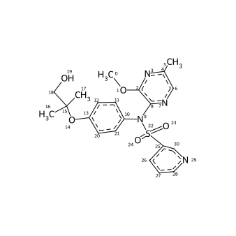 COc1nc(C)cnc1N(c1ccc(OC(C)(C)CO)cc1)S(=O)(=O)c1cccnc1